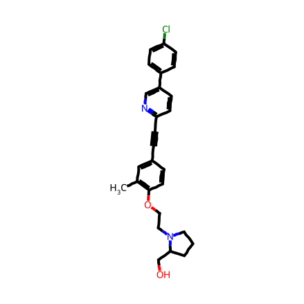 Cc1cc(C#Cc2ccc(-c3ccc(Cl)cc3)cn2)ccc1OCCN1CCCC1CO